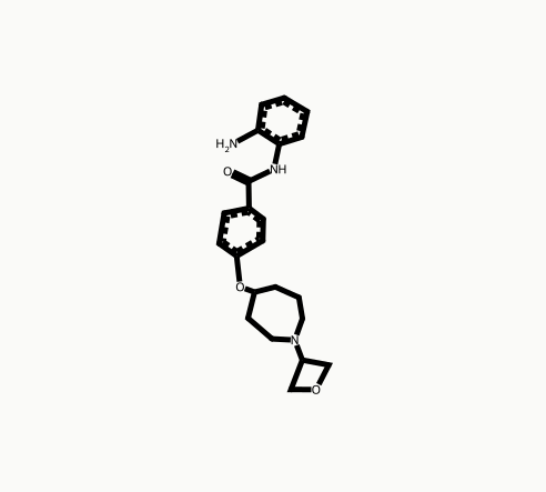 Nc1ccccc1NC(=O)c1ccc(OC2CCCN(C3COC3)CC2)cc1